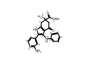 COC(=O)C1(C)CC(=O)c2c([nH]c(-c3ccnc(N)c3)c2Nc2ccccc2)C1